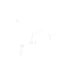 C=NN/C(C#N)=C\NC